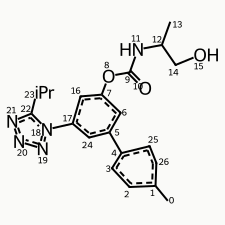 Cc1ccc(-c2cc(OC(=O)NC(C)CO)cc(-n3nnnc3C(C)C)c2)cc1